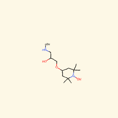 CCCCNCC(O)COC1CC(C)(C)N(O)C(C)(C)C1